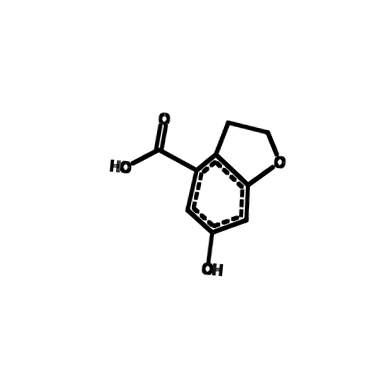 O=C(O)c1cc(O)cc2c1CCO2